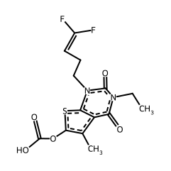 CCn1c(=O)c2c(C)c(OC(=O)O)sc2n(CCC=C(F)F)c1=O